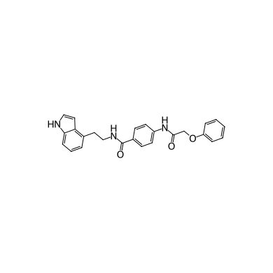 O=C(COc1ccccc1)Nc1ccc(C(=O)NCCc2cccc3[nH]ccc23)cc1